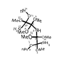 CCCOC([SiH3])(OC)C(NC(OC)(OC)C([SiH3])(OC)OCCC)(OC)OC